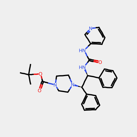 CC(C)(C)OC(=O)N1CCN([C@H](c2ccccc2)[C@@H](NC(=O)Nc2cccnc2)c2ccccc2)CC1